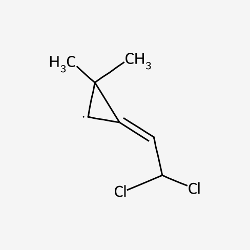 CC1(C)[CH]C1=CC(Cl)Cl